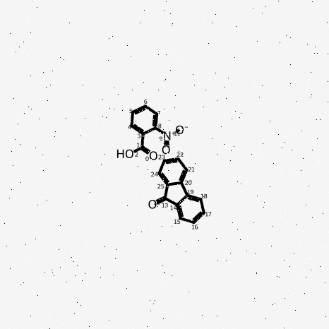 O=C(O)c1ccccc1[N+](=O)[O-].O=C1c2ccccc2-c2ccccc21